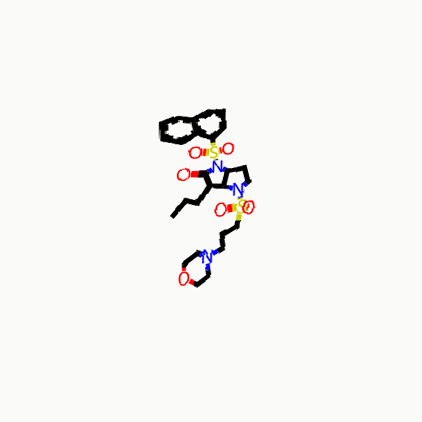 CCCC1C(=O)N(S(=O)(=O)c2cccc3ccccc23)C2CCN(S(=O)(=O)CCCN3CCOCC3)C12